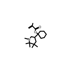 C=C(C)C(=O)OC1(C2CN(C)C(C)(C)C(C)(C)C2)CCCCC1